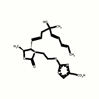 CC=CC=CC(C)(O)CC=C[C@H]1[C@H](C)OC(=O)N1CCSc1nc(C(=O)O)cs1